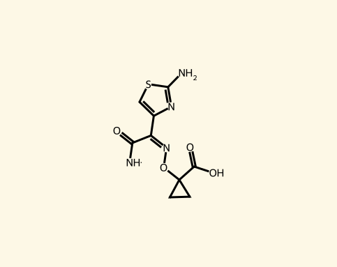 [NH]C(=O)C(=NOC1(C(=O)O)CC1)c1csc(N)n1